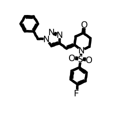 O=C1CCN(S(=O)(=O)c2ccc(F)cc2)C(=Cc2cn(Cc3ccccc3)nn2)C1